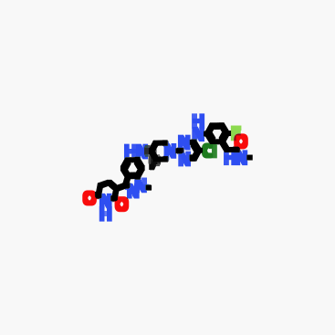 CNC(=O)Cc1cc(Nc2nc(N3CC[C@@H](Nc4ccc5c(C6CCC(=O)NC6=O)nn(C)c5c4)[C@H](C)C3)ncc2Cl)ccc1F